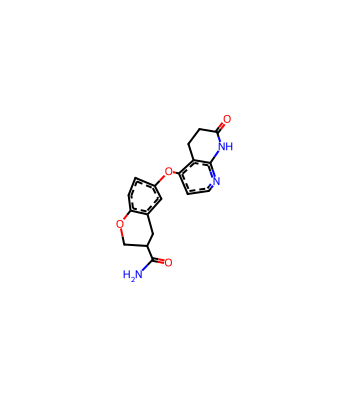 NC(=O)C1COc2ccc(Oc3ccnc4c3CCC(=O)N4)cc2C1